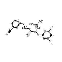 N#Cc1cccc(CNC[C@@H](O)[C@H](Cc2cc(F)cc(F)c2)NC(=O)O)c1